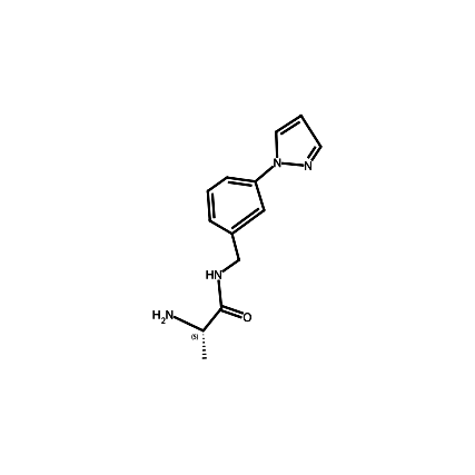 C[C@H](N)C(=O)NCc1cccc(-n2cccn2)c1